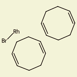 C1=CCCC=CCC1.C1=CCCC=CCC1.[Br][Rh]